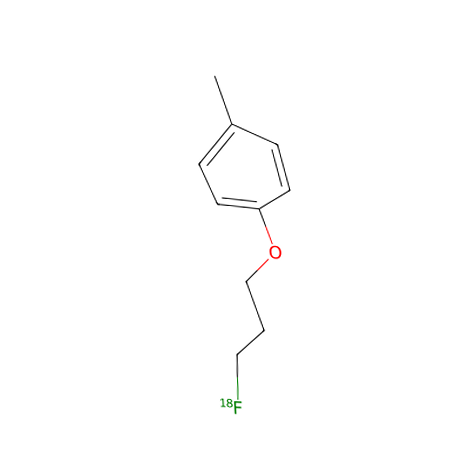 Cc1ccc(OCCC[18F])cc1